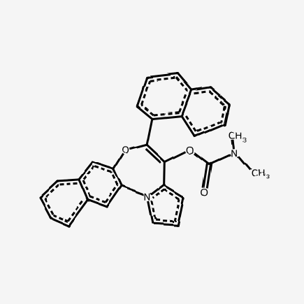 CN(C)C(=O)OC1=C(c2cccc3ccccc23)Oc2cc3ccccc3cc2-n2cccc21